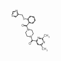 Cc1cc(C(=O)N2CCN(C(=O)c3ccccc3SCc3cscn3)CC2)nc(C)n1